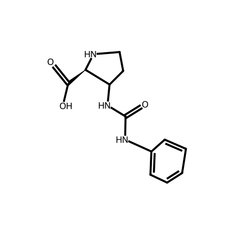 O=C(Nc1ccccc1)NC1CCN[C@@H]1C(=O)O